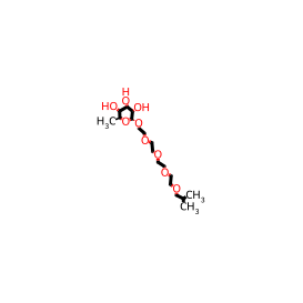 CC(C)COCCOCCOCCOCCO[C@@H]1O[C@@H](C)C(O)C(O)C1O